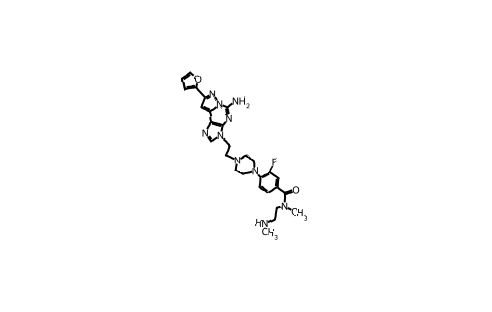 CNCCN(C)C(=O)c1ccc(N2CCN(CCn3cnc4c3nc(N)n3nc(-c5ccco5)cc43)CC2)c(F)c1